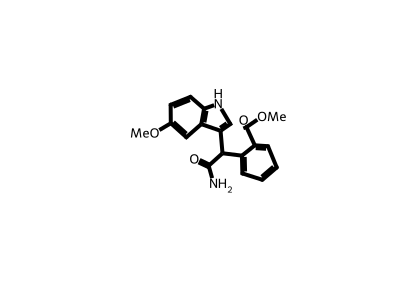 COC(=O)c1ccccc1C(C(N)=O)c1c[nH]c2ccc(OC)cc12